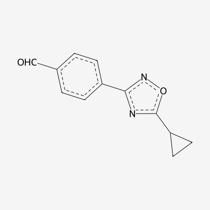 O=Cc1ccc(-c2noc(C3CC3)n2)cc1